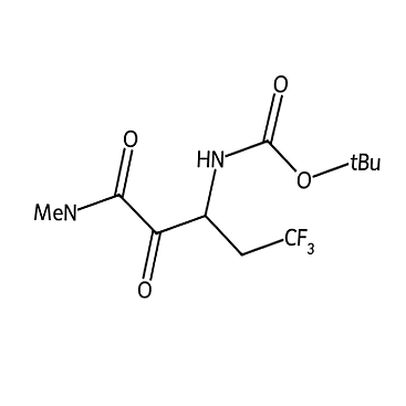 CNC(=O)C(=O)C(CC(F)(F)F)NC(=O)OC(C)(C)C